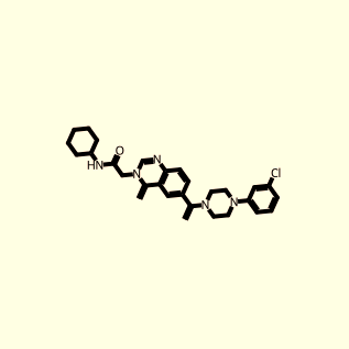 C=C1c2cc(C(=C)N3CCN(c4cccc(Cl)c4)CC3)ccc2N=CN1CC(=O)NC1CCCCC1